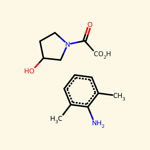 Cc1cccc(C)c1N.O=C(O)C(=O)N1CCC(O)C1